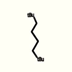 CC(C)(C)CCCCC(C)(C)C